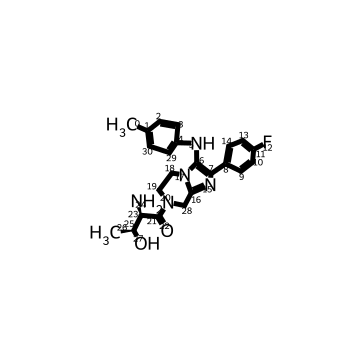 Cc1ccc(Nc2c(-c3ccc(F)cc3)nc3n2CCN(C(=O)[C@H](N)[C@H](C)O)C3)cc1